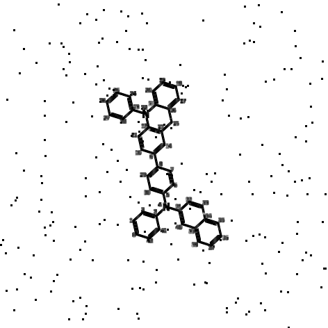 c1ccc(N(c2ccc(-c3ccc4c(c3)Cc3ccccc3N4c3ccccc3)cc2)c2ccc3ccccc3c2)cc1